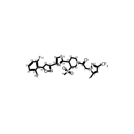 Cc1cc(C(F)(F)F)nn1CC(=O)N1CCC(c2nc(C3=NOC(c4c(F)cccc4F)C3)cs2)C(S(C)(=O)=O)C1